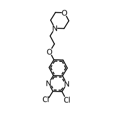 Clc1nc2ccc(OCCN3CCOCC3)cc2nc1Cl